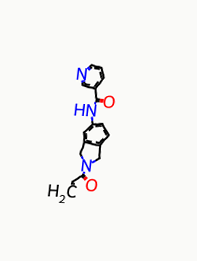 C=CC(=O)N1Cc2ccc(NC(=O)c3cccnc3)cc2C1